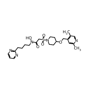 Cc1cc(COC2CCN(S(=O)(=O)CC(=O)N(O)CCCCc3ncccn3)CC2)c(C)cn1